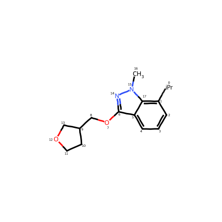 CC(C)c1cccc2c(OCC3CCOC3)nn(C)c12